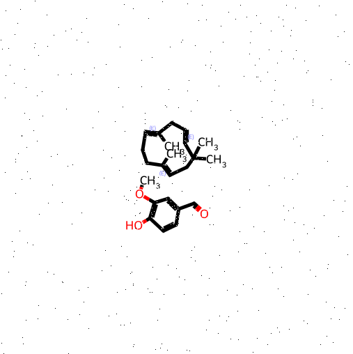 C/C1=C\CC/C(C)=C/CC(C)(C)/C=C/C1.COc1cc(C=O)ccc1O